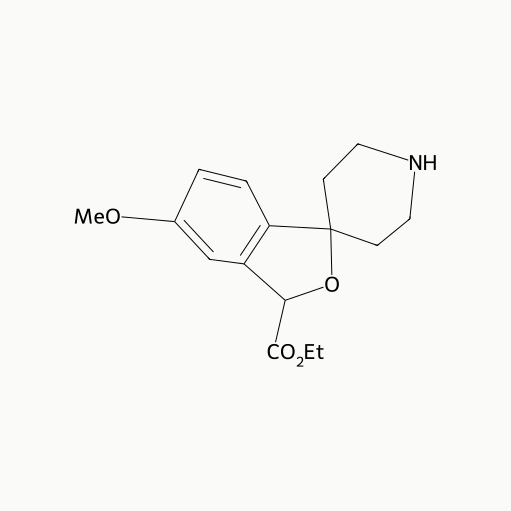 CCOC(=O)C1OC2(CCNCC2)c2ccc(OC)cc21